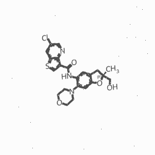 C[C@]1(CO)Cc2cc(NC(=O)c3csc4cc(Cl)cnc34)c(N3CCOCC3)cc2O1